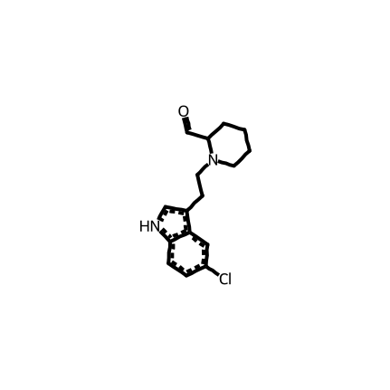 O=CC1CCCCN1CCc1c[nH]c2ccc(Cl)cc12